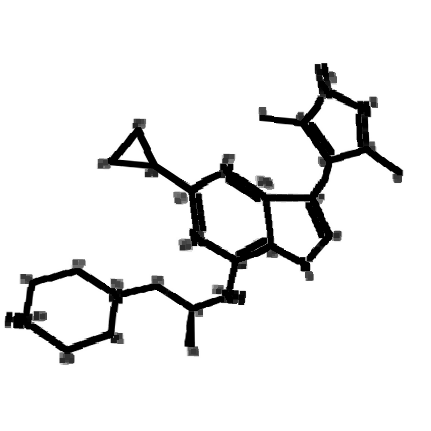 Cc1n[nH]c(C)c1-c1csc2c(N[C@@H](C)CN3CCNCC3)nc(C3CC3)nc12